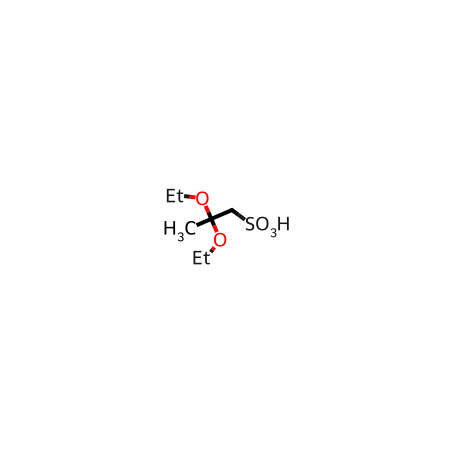 CCOC(C)(CS(=O)(=O)O)OCC